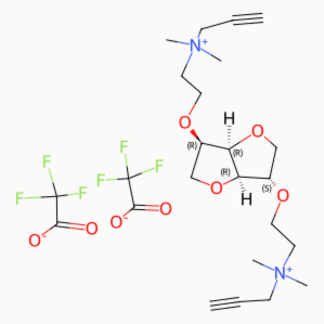 C#CC[N+](C)(C)CCO[C@H]1CO[C@H]2[C@@H]1OC[C@H]2OCC[N+](C)(C)CC#C.O=C([O-])C(F)(F)F.O=C([O-])C(F)(F)F